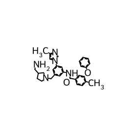 Cc1cn(-c2cc(CN3CCC(CN)C3)cc(NC(=O)c3ccc(C)c(Oc4ccccc4)c3)c2)cn1